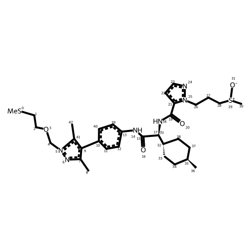 CSCCOCn1nc(C)c(-c2ccc(NC(=O)[C@@H](NC(=O)c3ccnn3CCC[S+](C)[O-])[C@H]3CC[C@H](C)CC3)cc2)c1C